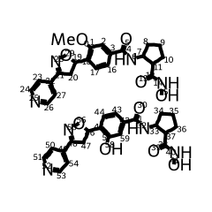 COc1cc(C(=O)NC2CCCC2C(=O)NO)ccc1C1CC(c2ccncc2)=NO1.O=C(NC1CCCC1C(=O)NO)c1ccc(C2CC(c3ccncc3)=NO2)c(O)c1